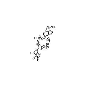 Nc1ncnc2c1ncn2[C@@H]1O[C@@H]2CNS(=O)(=O)O[C@H]3C[C@H](n4cc(F)c5c(=O)[nH]cnc54)O[C@@H]3COP(=O)(O)O[C@H]2[C@H]1F